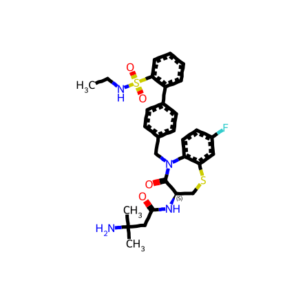 CCNS(=O)(=O)c1ccccc1-c1ccc(CN2C(=O)[C@H](NC(=O)CC(C)(C)N)CSc3cc(F)ccc32)cc1